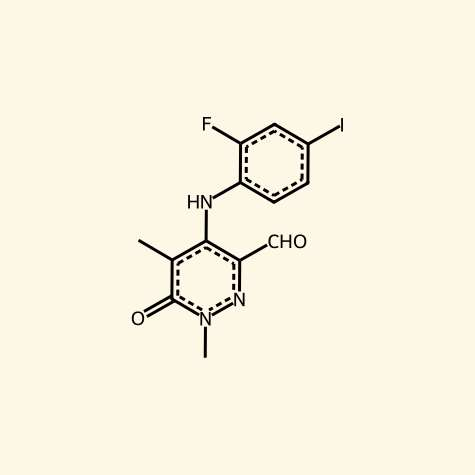 Cc1c(Nc2ccc(I)cc2F)c(C=O)nn(C)c1=O